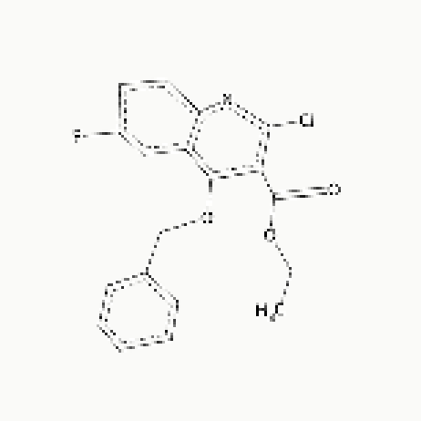 CCOC(=O)c1c(Cl)nc2ccc(F)cc2c1OCc1ccccc1